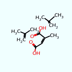 C/C(=C/C(=O)O)C(=O)O.C=C(C)C.C=C(C)C